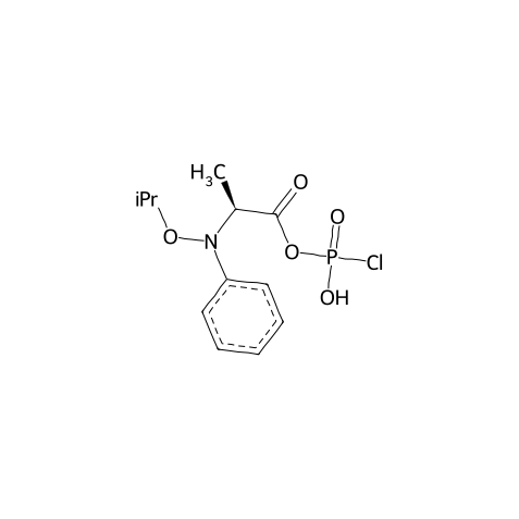 CC(C)ON(c1ccccc1)[C@@H](C)C(=O)OP(=O)(O)Cl